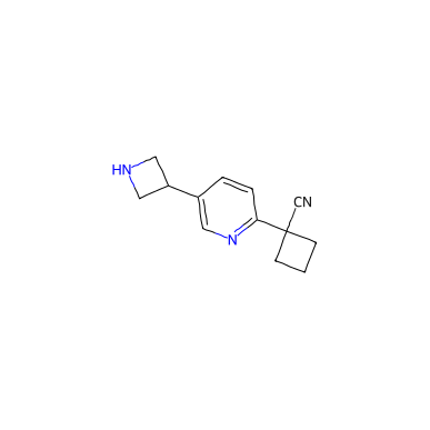 N#CC1(c2ccc(C3CNC3)cn2)CCC1